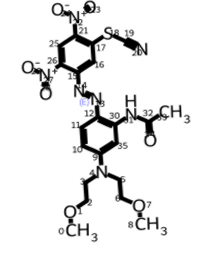 COCCN(CCOC)c1ccc(/N=N/c2cc(SC#N)c([N+](=O)[O-])cc2[N+](=O)[O-])c(NC(C)=O)c1